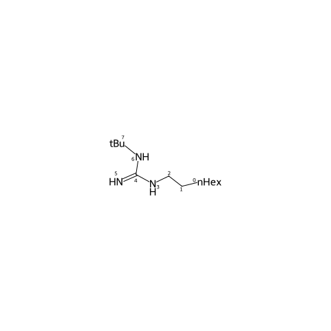 CCCCCCCCNC(=N)NC(C)(C)C